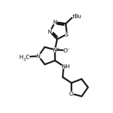 CN1CC(NCC2CCCO2)[N+]([O-])(c2nnc(C(C)(C)C)s2)C1